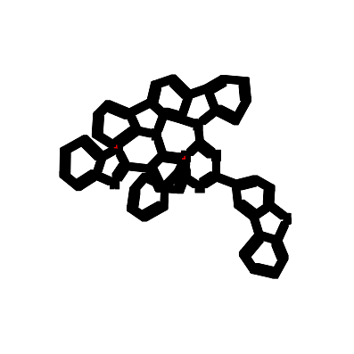 C1=CCC(c2nc(-c3ccc4sc5ccccc5c4c3)nc(-n3c4ccccc4c4ccc5c6ccccc6n(-c6ccccc6-c6nc7ccccc7o6)c5c43)n2)C=C1